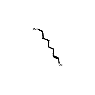 [CH2]C=CCCCCCSC